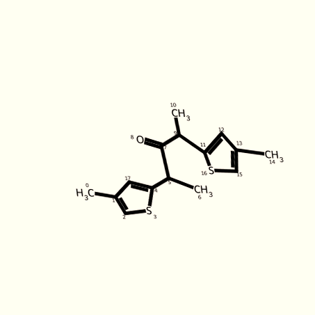 Cc1csc(C(C)C(=O)C(C)c2cc(C)cs2)c1